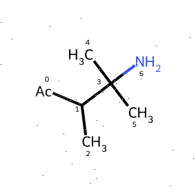 CC(=O)C(C)C(C)(C)N